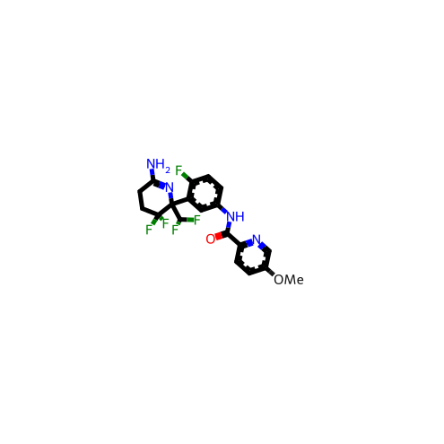 COc1ccc(C(=O)Nc2ccc(F)c(C3(C(F)F)N=C(N)CCC3(F)F)c2)nc1